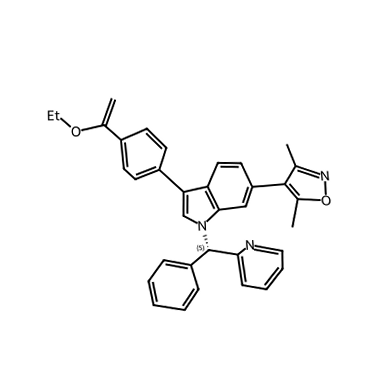 C=C(OCC)c1ccc(-c2cn([C@@H](c3ccccc3)c3ccccn3)c3cc(-c4c(C)noc4C)ccc23)cc1